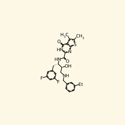 CCc1cccc(CNC[C@H](O)[C@H](Cc2cc(F)cc(F)c2)NC(=O)c2nc3sc(C)c(C)c3c(=O)[nH]2)c1